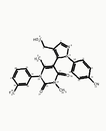 Cc1c(-c2c(CC(=O)O)cnn2-c2ccc(C#N)cc2)c(=O)n(C)c(=O)n1-c1cccc(C(F)(F)F)c1